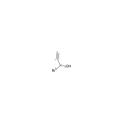 C#CC(O)Br